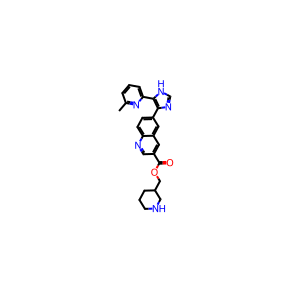 Cc1cccc(-c2[nH]cnc2-c2ccc3ncc(C(=O)OCC4CCCNC4)cc3c2)n1